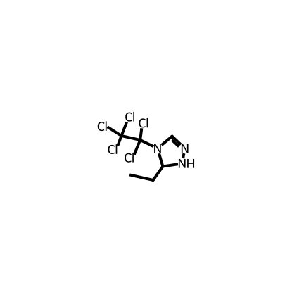 CCC1NN=CN1C(Cl)(Cl)C(Cl)(Cl)Cl